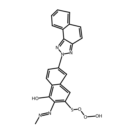 CN=Nc1c(SOOO)cc2cc(-n3nc4ccc5ccccc5c4n3)ccc2c1O